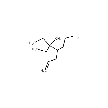 C=CC[C](CCC)C(C)(CC)CC